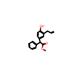 C=CCc1cc(C(C(=O)OC)c2ccccc2)ccc1O